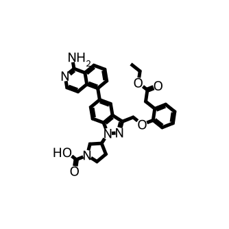 CCOC(=O)Cc1ccccc1OCc1nn(C2CCN(C(=O)O)C2)c2ccc(-c3cccc4c(N)nccc34)cc12